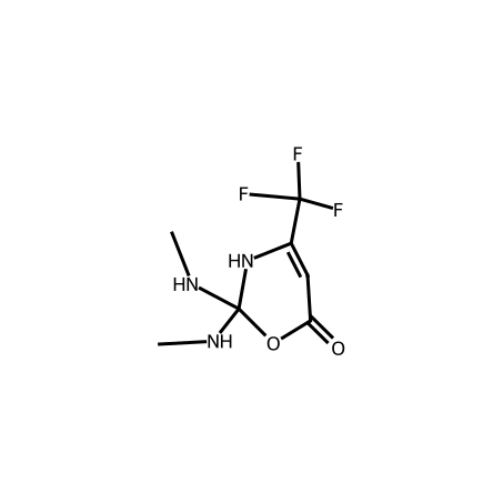 CNC1(NC)NC(C(F)(F)F)=CC(=O)O1